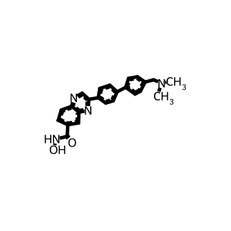 CN(C)Cc1ccc(-c2ccc(-c3cnc4ccc(C(=O)NO)cc4n3)cc2)cc1